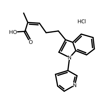 C/C(=C/CCc1cn(-c2cccnc2)c2ccccc12)C(=O)O.Cl